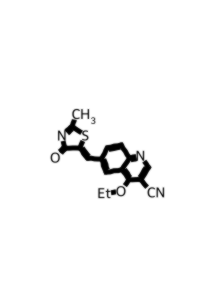 CCOc1c(C#N)cnc2ccc(/C=C3\SC(C)=NC3=O)cc12